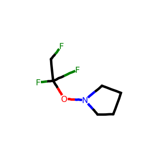 FCC(F)(F)ON1CCCC1